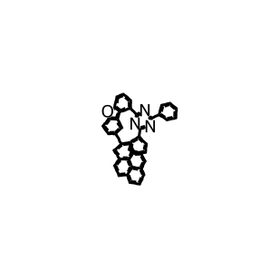 c1ccc(-c2nc(-c3ccccc3)nc(-c3cccc4oc5ccc(-c6cc7ccc8cccc9ccc(c6)c7c89)cc5c34)n2)cc1